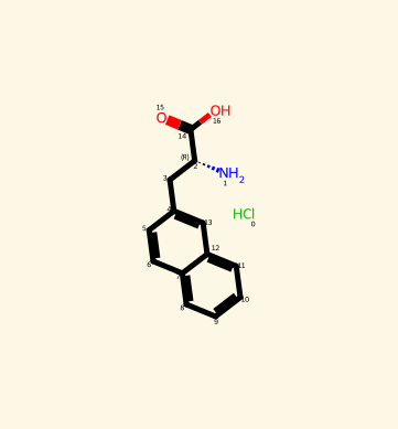 Cl.N[C@H](Cc1ccc2ccccc2c1)C(=O)O